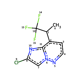 CC(c1ccnn2cc(Cl)nc12)C(F)(F)F